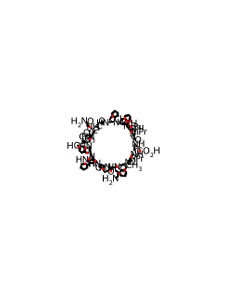 CCCC[C@H]1C(=O)N(CCC)CC(=O)N[C@@H](CC(=O)O)C(=O)N[C@@H](C(C)C)C(=O)N(C)[C@@H](Cc2ccccc2)C(=O)N[C@@H](CCCN)C(=O)N2CCC[C@@H]2C(=O)N[C@@H](Cc2c[nH]c3ccccc23)C(=O)N[C@@H](Cc2ccc(O)cc2)C(=O)N[C@@H](C2CC2C)C(=O)N[C@H](C(=O)NCC(N)=O)CSCC(=O)N[C@@H](Cc2ccccc2)C(=O)N(C)C(Cc2ccccc2)C(=O)N1C